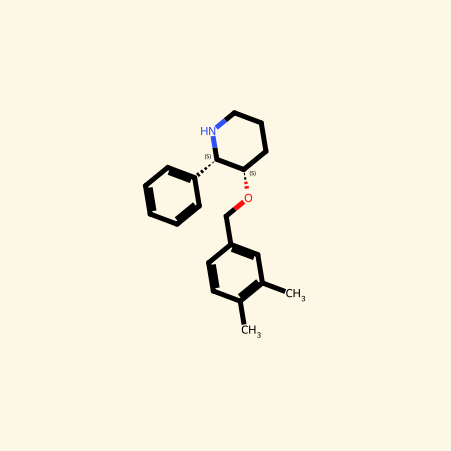 Cc1ccc(CO[C@H]2CCCN[C@H]2c2ccccc2)cc1C